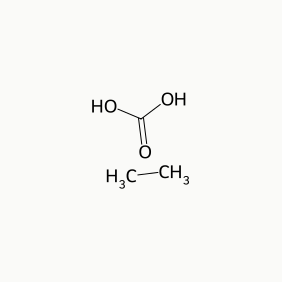 CC.O=C(O)O